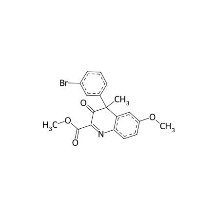 COC(=O)C1=Nc2ccc(OC)cc2C(C)(c2cccc(Br)c2)C1=O